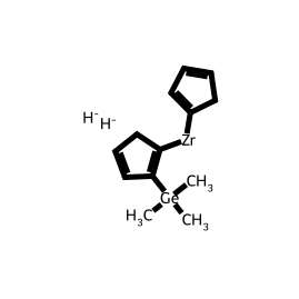 [CH3][Ge]([CH3])([CH3])[C]1=[C]([Zr][C]2=CC=CC2)CC=C1.[H-].[H-]